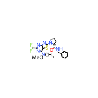 CON(C)c1nc(C(F)F)nc2nc(N3CCC[C@@H]3C(=O)NCc3ccccc3)sc12